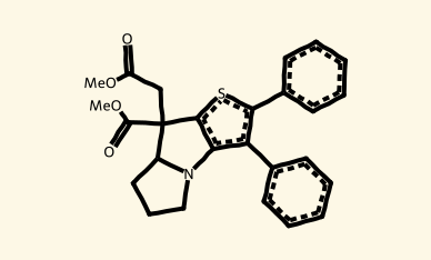 COC(=O)CC1(C(=O)OC)c2sc(-c3ccccc3)c(-c3ccccc3)c2N2CCCC21